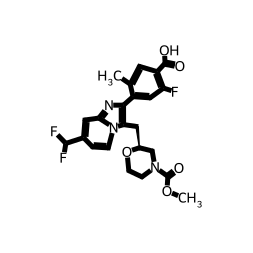 COC(=O)N1CCO[C@@H](Cc2c(-c3cc(F)c(C(=O)O)cc3C)nc3cc(C(F)F)ccn23)C1